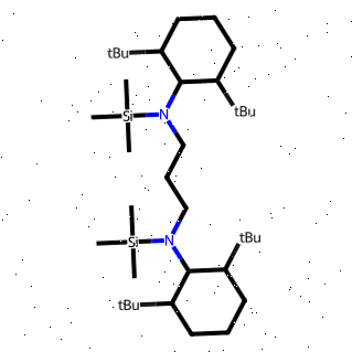 CC(C)(C)C1CCCC(C(C)(C)C)C1N(CCCN(C1C(C(C)(C)C)CCCC1C(C)(C)C)[Si](C)(C)C)[Si](C)(C)C